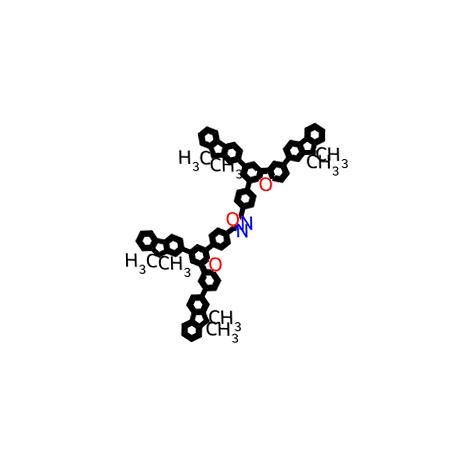 CC1(C)c2ccccc2-c2ccc(-c3ccc4oc5c(-c6ccc(-c7nnc(-c8ccc(-c9cc(-c%10ccc%11c(c%10)C(C)(C)c%10ccccc%10-%11)cc%10c9oc9ccc(-c%11ccc%12c(c%11)C(C)(C)c%11ccccc%11-%12)cc9%10)cc8)o7)cc6)cc(-c6ccc7c(c6)C(C)(C)c6ccccc6-7)cc5c4c3)cc21